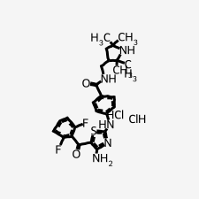 CC1(C)CC(CNC(=O)c2ccc(Nc3nc(N)c(C(=O)c4c(F)cccc4F)s3)cc2)C(C)(C)N1.Cl.Cl